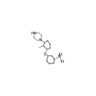 CCN(CC)c1cccc(Oc2cccc(N3CCNCC3)c2C)c1